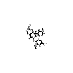 COc1ccc(CN2CC(C)(c3cccc(Cl)c3F)c3nc(SC)ncc3C2=O)c(OC)c1